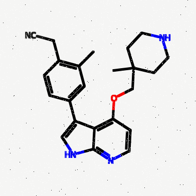 Cc1cc(-c2c[nH]c3nccc(OCC4(C)CCNCC4)c23)ccc1CC#N